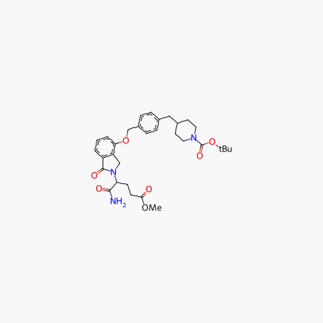 COC(=O)CCC(C(N)=O)N1Cc2c(OCc3ccc(CC4CCN(C(=O)OC(C)(C)C)CC4)cc3)cccc2C1=O